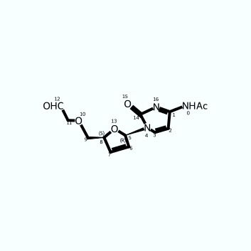 CC(=O)Nc1ccn([C@H]2C=C[C@@H](COCC=O)O2)c(=O)n1